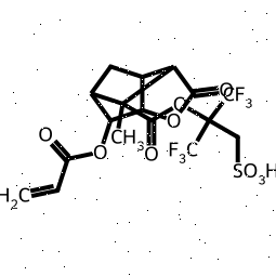 C=CC(=O)OC1C2OC(=O)C3C2CC1C3(C)C(=O)OC(CS(=O)(=O)O)(C(F)(F)F)C(F)(F)F